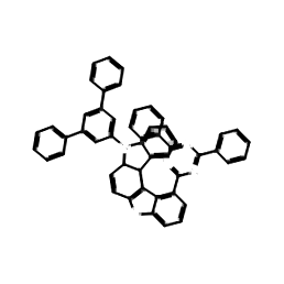 C1=CC2C(c3ccccc3N2c2cc(-c3ccccc3)cc(-c3ccccc3)c2)c2c1oc1cccc(-c3nc(-c4ccccc4)nc(-c4ccccc4)n3)c21